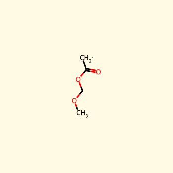 [CH2]C(=O)OCOC